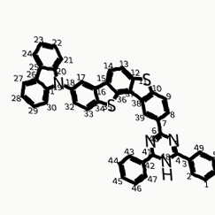 c1ccc(C2=NC(c3ccc4sc5ccc6c7cc(-n8c9ccccc9c9ccccc98)ccc7sc6c5c4c3)=NC(c3ccccc3)N2)cc1